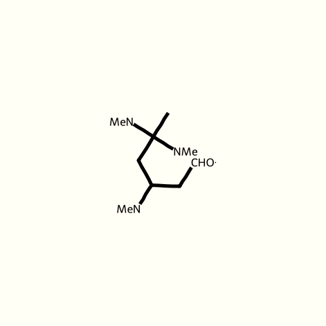 CNC(C[C]=O)CC(C)(NC)NC